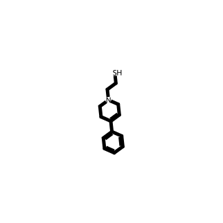 SCCN1CC=C(c2ccccc2)CC1